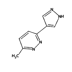 Cc1ccc(-c2cn[nH]c2)nn1